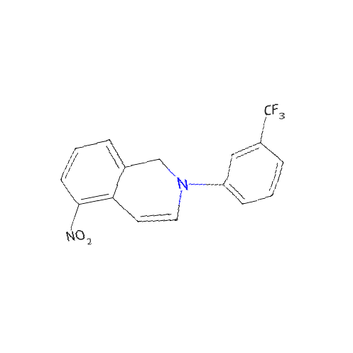 O=[N+]([O-])c1cccc2c1C=CN(c1cccc(C(F)(F)F)c1)C2